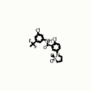 CC(F)(F)c1cc(Cl)cc(NC(=O)c2cc(N3CCCS3(=O)=O)ccc2Cl)c1